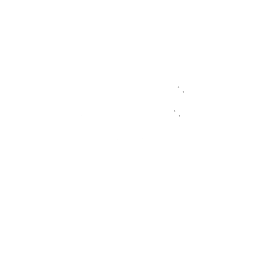 c1cc2c(c(-c3csnn3)c1)COCO2